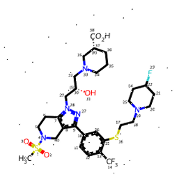 CS(=O)(=O)N1CCc2c(c(-c3ccc(C(F)(F)F)c(SCCN4CCC(F)CC4)c3)nn2C[C@@H](O)CN2CCC[C@@H](C(=O)O)C2)C1